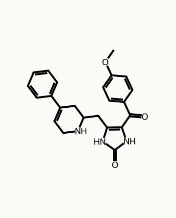 COc1ccc(C(=O)c2[nH]c(=O)[nH]c2CC2CC(c3ccccc3)=CCN2)cc1